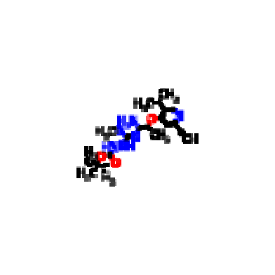 C#Cc1cc(O/C(C)=C(N)/N=C(\N=C)NNC(=O)OC(C)(C)C)c(C(C)C)cn1